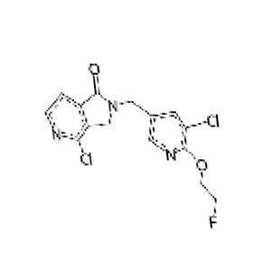 O=C1c2ccnc(Cl)c2CN1Cc1cnc(OCCF)c(Cl)c1